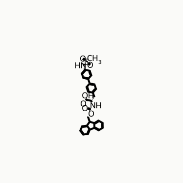 CS(=O)(=O)Nc1ccc(-c2ccc(C[C@H](NC(=O)OCC3c4ccccc4-c4ccccc43)C(=O)O)cc2)cc1